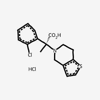 C[C@@](C(=O)O)(c1ccccc1Cl)N1CCc2sccc2C1.Cl